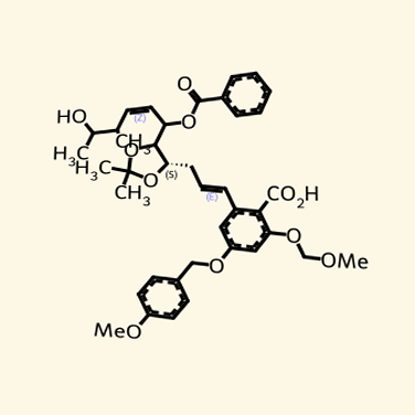 COCOc1cc(OCc2ccc(OC)cc2)cc(/C=C/C[C@@H]2OC(C)(C)OC2C(/C=C\C(C)C(C)O)OC(=O)c2ccccc2)c1C(=O)O